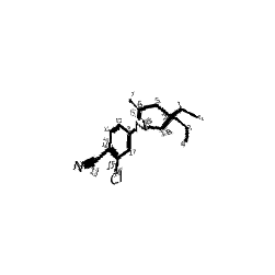 CCC1(CC)C[C@H](C)N(c2ccc(C#N)c(Cl)c2)C1